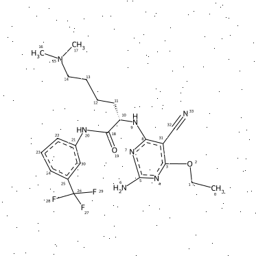 CCOc1nc(N)nc(N[C@@H](CCCCN(C)C)C(=O)Nc2cccc(C(F)(F)F)c2)c1C#N